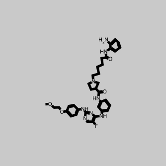 COCCOc1ccc(Nc2ncc(F)c(Nc3cccc(NC(=O)C4CCN(CCCCCC(=O)Nc5ccccc5N)C4)c3)n2)cc1